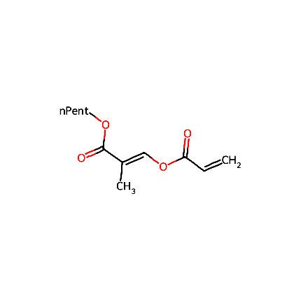 C=CC(=O)OC=C(C)C(=O)OCCCCC